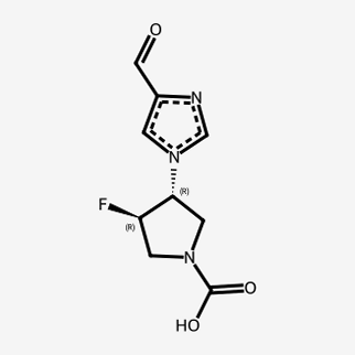 O=Cc1cn([C@@H]2CN(C(=O)O)C[C@H]2F)cn1